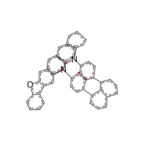 c1ccc(N(c2ccccc2)c2ccc(-c3cccc4cccc(-c5ccc(N(c6ccccc6)c6ccc7oc8ccccc8c7c6)cc5)c34)cc2)cc1